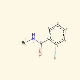 CC(C)(C)NC(=O)c1cc[c]cc1F